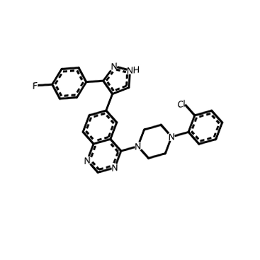 Fc1ccc(-c2n[nH]cc2-c2ccc3ncnc(N4CCN(c5ccccc5Cl)CC4)c3c2)cc1